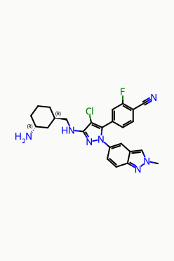 Cn1cc2cc(-n3nc(NC[C@@H]4CCC[C@@H](N)C4)c(Cl)c3-c3ccc(C#N)c(F)c3)ccc2n1